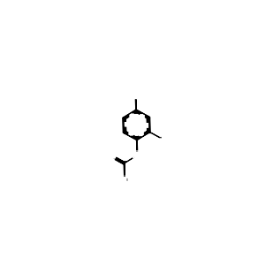 CCCCC(=O)Oc1ccc(F)cc1F